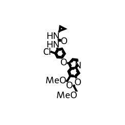 COCCOc1cc2nccc(Oc3ccc(NC(=O)NC4CC4)c(Cl)c3)c2cc1C(=O)OC